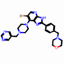 Brc1cnc2[nH]c(-c3ccc(CN4CCOCC4)cc3)nc2c1N1CCN(Cc2cncnc2)CC1